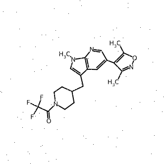 Cc1noc(C)c1-c1cnc2c(c1)c(CC1CCN(C(=O)C(F)(F)F)CC1)cn2C